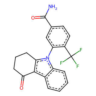 NC(=O)c1ccc(C(F)(F)F)c(-n2c3c(c4ccccc42)C(=O)CCC3)c1